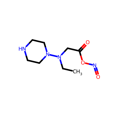 CCN(CC(=O)ON=O)N1CCNCC1